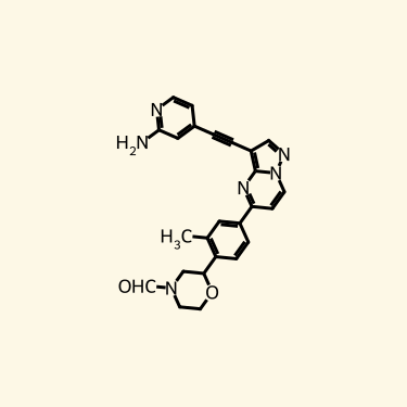 Cc1cc(-c2ccn3ncc(C#Cc4ccnc(N)c4)c3n2)ccc1C1CN(C=O)CCO1